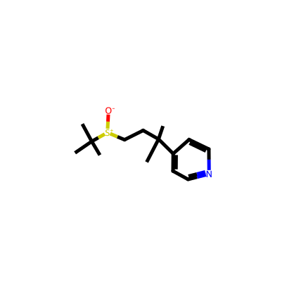 CC(C)(CC[S+]([O-])C(C)(C)C)c1ccncc1